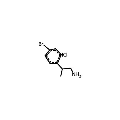 CC(CN)c1ccc(Br)cc1.Cl